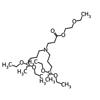 CCOCCOC(=O)CCN(CCC[Si](C)(OCC)OCC)CCC[Si](C)(OCC)OCC